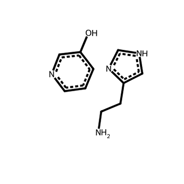 NCCc1c[nH]cn1.Oc1cccnc1